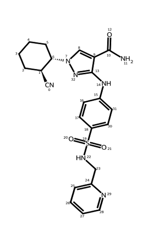 N#C[C@H]1CCCC[C@@H]1n1cc(C(N)=O)c(Nc2ccc(S(=O)(=O)NCc3ccccn3)cc2)n1